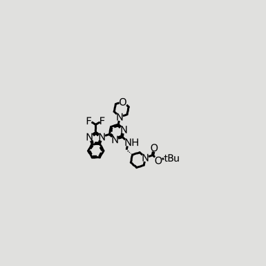 CC(C)(C)OC(=O)N1CCC[C@H](CNc2nc(N3CCOCC3)cc(-n3c(C(F)F)nc4ccccc43)n2)C1